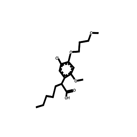 CCCCCC(C(=O)O)c1cc(Cl)c(OCCCOC)cc1OC